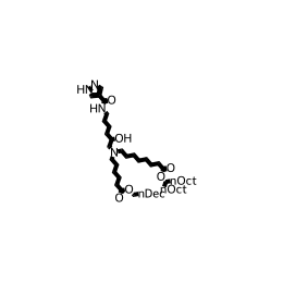 CCCCCCCCCCCOC(=O)CCCCCN(CCCCCCCC(=O)OC(CCCCCCCC)CCCCCCCC)CC(O)CCCCNC(=O)c1cn[nH]c1